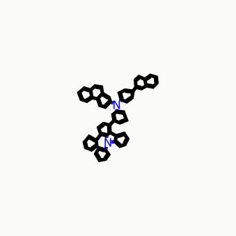 c1ccc(-c2ccc(-c3cccc(N(c4ccc(-c5ccc6ccccc6c5)cc4)c4ccc5c(ccc6ccccc65)c4)c3)c3c4ccccc4n(-c4ccccc4)c23)cc1